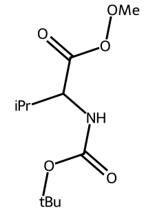 COOC(=O)C(NC(=O)OC(C)(C)C)C(C)C